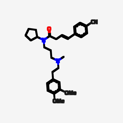 COc1ccc(CCN(C)CCCN(C(=O)C/C=C/c2ccc(C#N)cc2)C2CCCC2)cc1OC